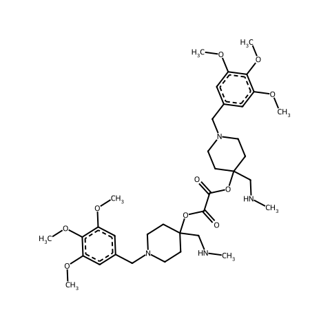 CNCC1(OC(=O)C(=O)OC2(CNC)CCN(Cc3cc(OC)c(OC)c(OC)c3)CC2)CCN(Cc2cc(OC)c(OC)c(OC)c2)CC1